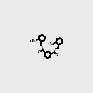 CCCCc1ccccc1COC(=O)c1cccc(C(=O)OCc2ccccc2CCCC)c1